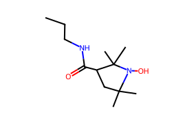 CCCNC(=O)C1CC(C)(C)N(O)C1(C)C